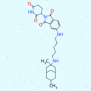 CC1CC2CC(C1)CC(C)(NCCCCCNc1ccc3c(c1)C(=O)N(C1CCC(=O)NC1=O)C3=O)C2